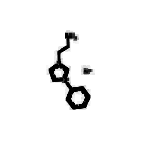 NCCn1cc[n+](-c2ccccc2)c1.[Br-]